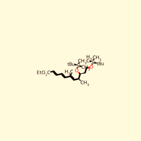 CCOC(=O)C=C/C=C/C(C)=C/[C@H](C)[C@H](CCO[Si](C)(C)C(C)(C)C)O[Si](C)(C)C(C)(C)C